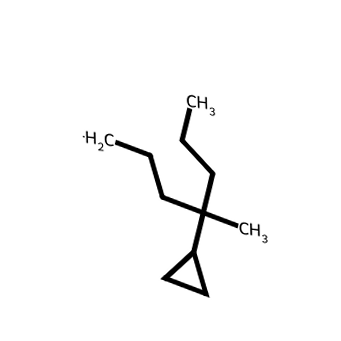 [CH2]CCC(C)(CCC)C1CC1